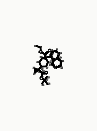 CCOC(=O)C1(c2ccnc3ccncc23)CCC(C2(C(=O)OC(C)(C)C)CC2)CC1